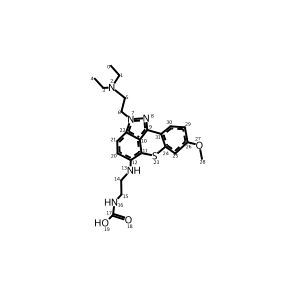 CCN(CC)CCn1nc2c3c(c(NCCNC(=O)O)ccc31)Sc1cc(OC)ccc1-2